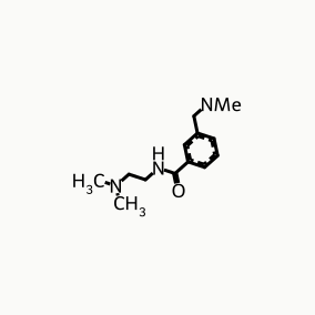 CNCc1cccc(C(=O)NCCN(C)C)c1